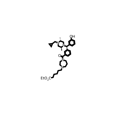 CCOC(=O)CCCCCN1CCCN(C(=O)c2cccc([C@H](c3cccc(O)c3)N3C[C@@H](C)N(CC4CC4)C[C@@H]3C)c2)CC1